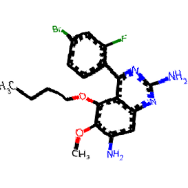 CCCCOc1c(OC)c(N)cc2nc(N)nc(-c3ccc(Br)cc3F)c12